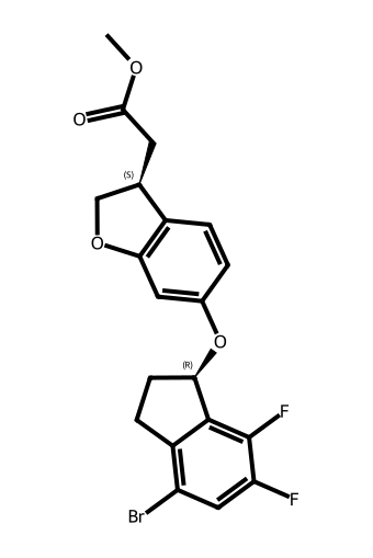 COC(=O)C[C@@H]1COc2cc(O[C@@H]3CCc4c(Br)cc(F)c(F)c43)ccc21